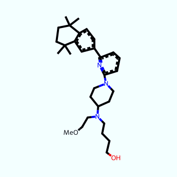 COCCN(CCCCO)C1CCN(c2cccc(-c3ccc4c(c3)C(C)(C)CCC4(C)C)n2)CC1